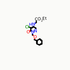 CCOC(=O)CNc1cnn(COCc2ccccc2)c(=O)c1Cl